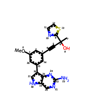 COc1cc(C#CC(C)(O)c2nccs2)cc(-c2c[nH]c3cnc(N)nc23)c1